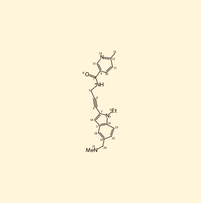 CCn1c(C#CCNC(=O)c2ccc(C)nc2)cc2cc(CNC)ccc21